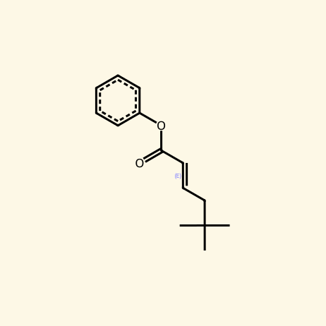 CC(C)(C)C/C=C/C(=O)Oc1ccccc1